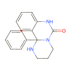 O=C1Nc2ccccc2C2(c3ccccc3)NCCCN12